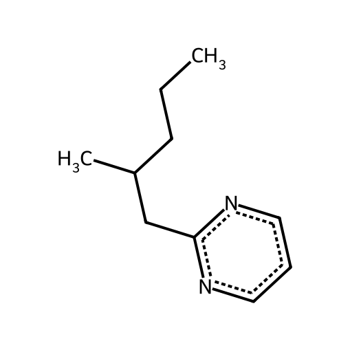 CCCC(C)Cc1ncccn1